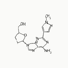 Cn1cc(-c2nc(N)c3ncn(C4[CH]CC(CO)O4)c3n2)cn1